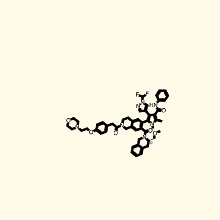 COC[C@@H]1Cc2ccccc2CN1C(=O)c1cc2c(cc1-c1c(-c3cnn(C(F)F)c3)c(C(=O)Nc3ccccc3)c(C)n1C)CCN(C(=O)Cc1ccc(OCCN3CCOCC3)cc1)C2